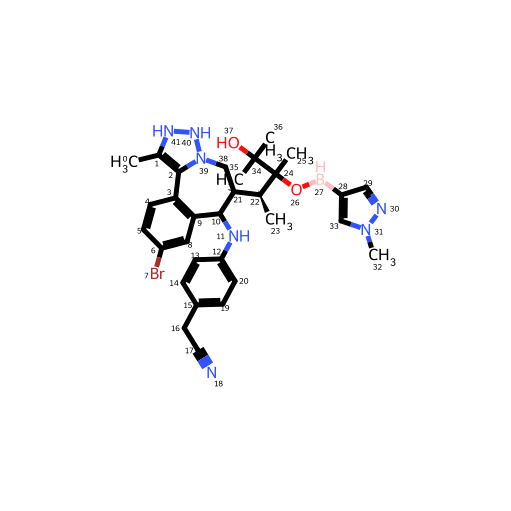 CC1=C2c3ccc(Br)cc3C(Nc3ccc(CC#N)cc3)C([C@H](C)C(C)(OBc3cnn(C)c3)C(C)(C)O)CN2NN1